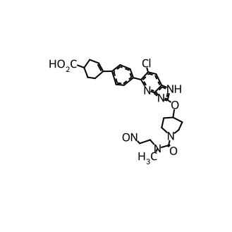 CN(CCN=O)C(=O)N1CCC(Oc2nc3nc(-c4ccc(C5=CCC(C(=O)O)CC5)cc4)c(Cl)cc3[nH]2)CC1